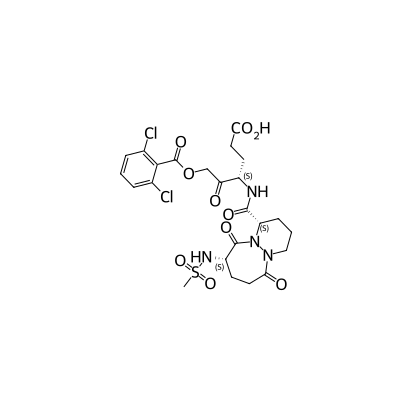 CS(=O)(=O)N[C@H]1CCC(=O)N2CCC[C@@H](C(=O)N[C@@H](CCC(=O)O)C(=O)COC(=O)c3c(Cl)cccc3Cl)N2C1=O